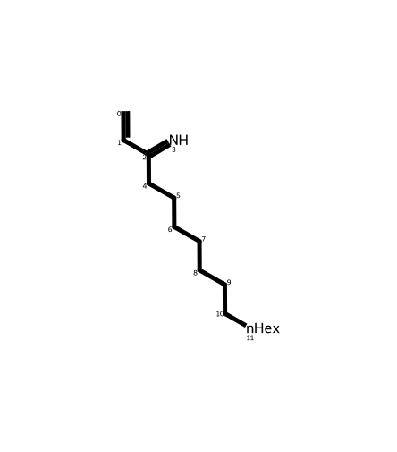 C=CC(=N)CCCCCCCCCCCCC